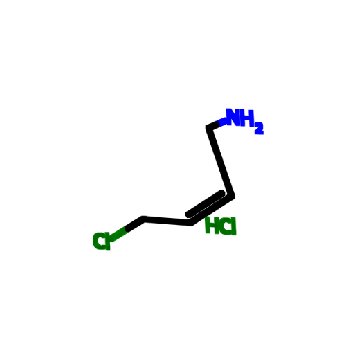 Cl.NC/C=C\CCl